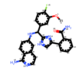 CCOc1cc(C(Nc2ccc3c(N)nccc3c2)c2nc(-c3ccccc3C(N)=O)c[nH]2)ccc1F